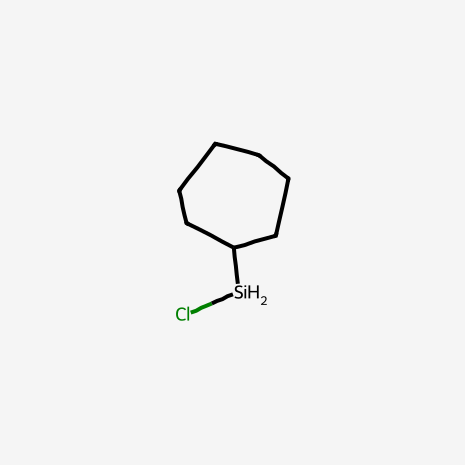 Cl[SiH2]C1CCCCCC1